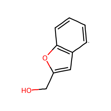 OCc1cc2[c]cccc2o1